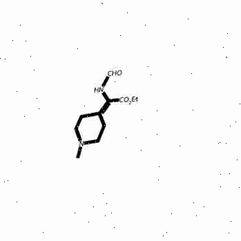 CCOC(=O)C(NC=O)=C1CCN(C)CC1